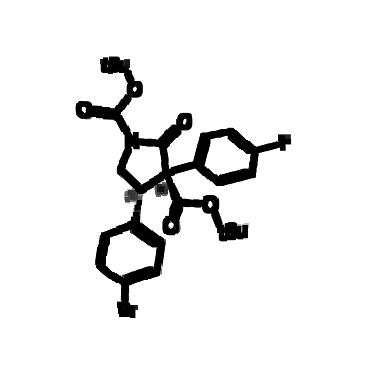 CC(C)(C)OC(=O)N1C[C@@H](c2ccc(Br)cc2)[C@@](C(=O)OC(C)(C)C)(c2ccc(F)cc2)C1=O